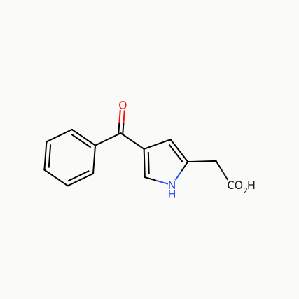 O=C(O)Cc1cc(C(=O)c2ccccc2)c[nH]1